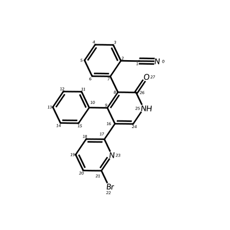 N#Cc1ccccc1-c1c(-c2ccccc2)c(-c2cccc(Br)n2)c[nH]c1=O